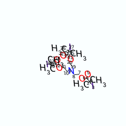 CC(C)(I)C(=O)OCCN(CCOC(=O)C(C)(C)I)CCOC(=O)C(C)(C)I